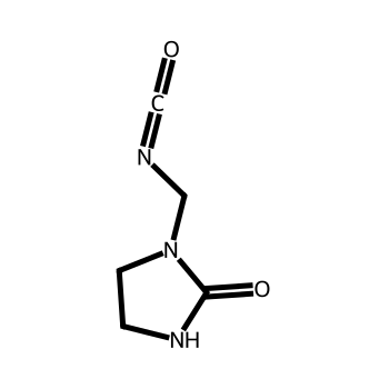 O=C=NCN1CCNC1=O